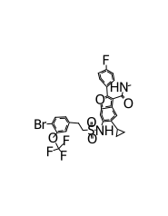 CNC(=O)c1c(-c2ccc(F)cc2)oc2cc(NS(=O)(=O)CCc3ccc(Br)c(OC(F)(F)F)c3)c(C3CC3)cc12